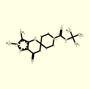 Cc1c2c(nn1C)C(=O)CC1(CCN(C(=O)OC(C)(C)C)CC1)O2